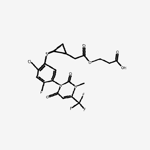 Cn1c(C(F)(F)F)cc(=O)n(-c2cc(SC3CC3CC(=O)OCCC(=O)O)c(Cl)cc2F)c1=O